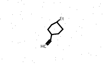 C#CC1CCC(CC)CC1